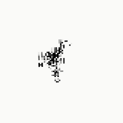 CC(C)(C)OC(=O)C[C@H](NC(=O)c1cccc(CN)c1)C(=O)NCC(=O)N[C@@H](CCCCNC(=O)OCc1ccccc1)C(=O)OC(C)(C)C